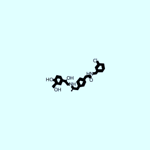 C[C@H](Cc1ccc(CC(=O)NCc2cccc(Cl)c2)cc1)NC[C@H](O)c1ccc(O)c(CO)c1